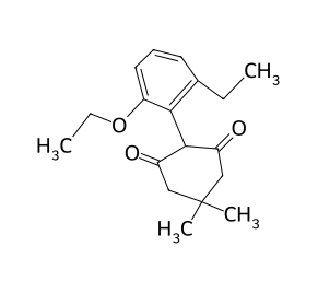 CCOc1cccc(CC)c1C1C(=O)CC(C)(C)CC1=O